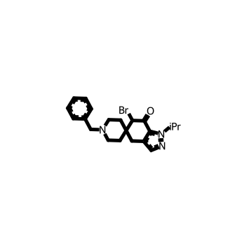 CC(C)n1ncc2c1C(=O)C(Br)C1(CCN(Cc3ccccc3)CC1)C2